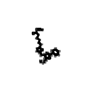 COC(=O)CSC/C=C/c1ccc(Cc2nc(-c3ccccc3)oc2C)o1